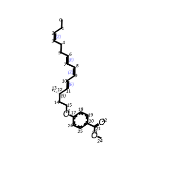 CC/C=C\CC/C=C/C=C\C=C\[C@@H](C)CCOc1ccc(C(=O)OC)cc1